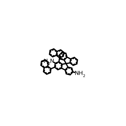 Nc1ccc2c(c1)C1(c3ccccc3-c3ccccc31)c1c-2cc(-c2cccc3ccccc23)c(N)c1-c1cccc2ccccc12